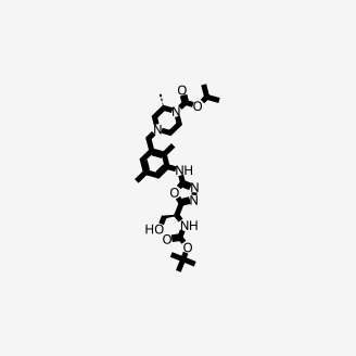 Cc1cc(CN2CCN(C(=O)OC(C)C)[C@@H](C)C2)c(C)c(Nc2nnc([C@H](CO)NC(=O)OC(C)(C)C)o2)c1